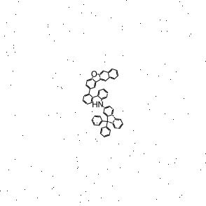 c1ccc(C2(c3ccccc3)c3ccccc3-c3ccc(Nc4ccccc4-c4ccccc4-c4ccc5oc6cc7ccccc7cc6c5c4)cc32)cc1